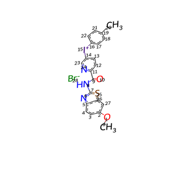 COc1ccc2nc(NC(=O)c3ccc([I+]c4ccc(C)cc4)cn3)sc2c1.[Br-]